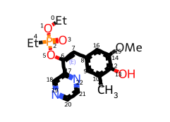 CCOP(=O)(CC)O/C(=C/c1cc(C)c(O)c(OC)c1)c1cnccn1